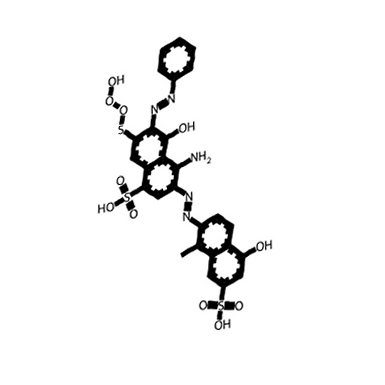 Cc1c(N=Nc2cc(S(=O)(=O)O)c3cc(SOOO)c(N=Nc4ccccc4)c(O)c3c2N)ccc2c(O)cc(S(=O)(=O)O)cc12